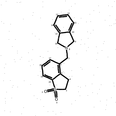 O=S1(=O)CCc2c(CN3Cc4ccccc4C3)cccc21